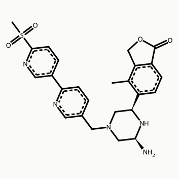 Cc1c([C@@H]2CN(Cc3ccc(-c4ccc(S(C)(=O)=O)nc4)nc3)C[C@H](N)N2)ccc2c1COC2=O